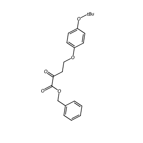 CC(C)(C)Oc1ccc(OCCC(=O)C(=O)OCc2ccccc2)cc1